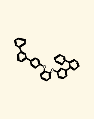 c1ccc(-c2cccc(-c3ccc(Oc4ccccc4Oc4cccc(-c5ccccc5-c5ccccc5)c4)cc3)c2)cc1